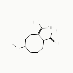 CC(=N)C1CCCC(OI)CC/C1=C(\C)N